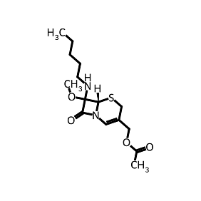 CCCCCNC1(OC)C(=O)N2C=C(COC(C)=O)CS[C@H]21